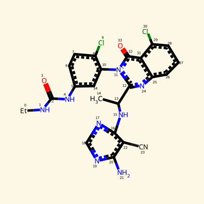 CCNC(=O)Nc1ccc(Cl)c(-n2c(C(C)Nc3ncnc(N)c3C#N)nc3cccc(Cl)c3c2=O)c1